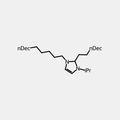 CCCCCCCCCCCCCCCN1C=CN(C(C)C)C1CCCCCCCCCCCC